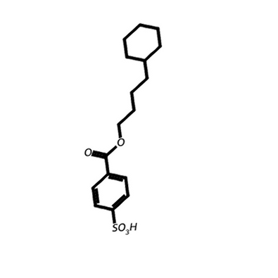 O=C(OCCCCC1CCCCC1)c1ccc(S(=O)(=O)O)cc1